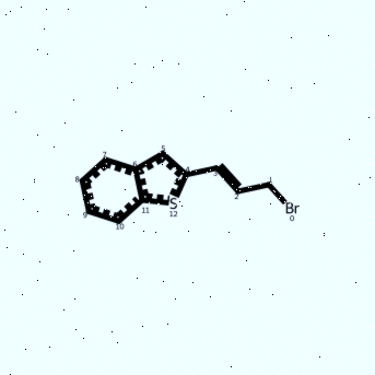 BrCC=Cc1cc2ccccc2s1